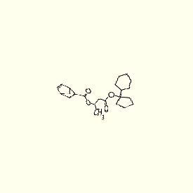 CC(CC(=O)OC1(C2CCCCC2)CCCC1)OC(=O)C1CC2C=CC1C2